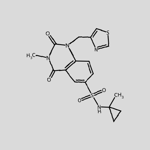 Cn1c(=O)c2cc(S(=O)(=O)NC3(C)CC3)ccc2n(Cc2cscn2)c1=O